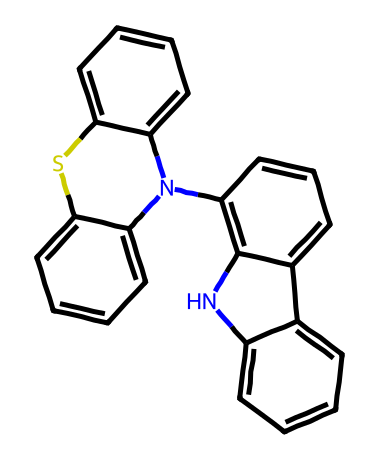 c1ccc2c(c1)Sc1ccccc1N2c1cccc2c1[nH]c1ccccc12